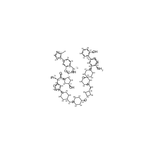 Cc1ncsc1-c1ccc([C@H](C)NC(=O)[C@@H]2C[C@@H](O)CN2C(=O)[C@@H](c2cc(N3CCC(CN4CCC(O[C@H]5C[C@H](CN6CCOC7(CCN(c8cc(-c9ccccc9O)nnc8N)CC7)C6)C5)CC4)CC3)no2)C(C)C)cc1